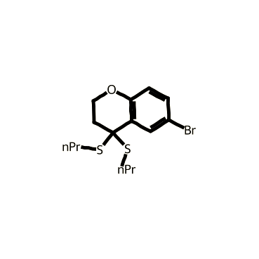 CCCSC1(SCCC)CCOc2ccc(Br)cc21